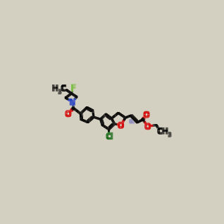 CCOC(=O)/C=C/C1Cc2cc(-c3ccc(C(=O)N4CC(C)(F)C4)cc3)cc(Cl)c2O1